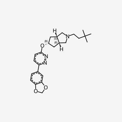 CC(C)(C)CCN1C[C@H]2C[C@@H](Oc3ccc(-c4ccc5c(c4)OCO5)nn3)C[C@H]2C1